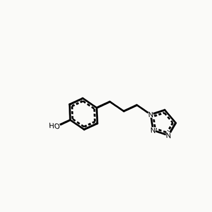 Oc1ccc(CCCn2ccnn2)cc1